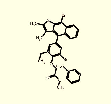 CCc1cc(-c2c3ccccc3c(Br)c3sc(C)c(C)c23)cc(Br)c1O[C@H](Cc1ccccc1)C(=O)OC